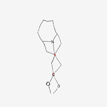 COOCCN1C2CCCC1CC(COOC)C2